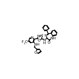 CN1N=C(c2ncc(C(F)(F)F)cc2NCc2ccco2)OC1N[C@H]1N=C(c2ccccc2)c2ccccc2NC1=O